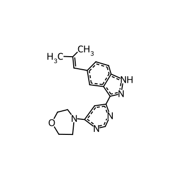 CC(C)=Cc1ccc2[nH]nc(-c3cc(N4CCOCC4)ncn3)c2c1